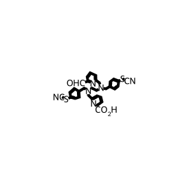 N#CSc1ccc(CN(CCN(Cc2ccc(SC#N)cc2)Cc2cccc(C(=O)O)n2)Cc2cccc(C=O)n2)cc1